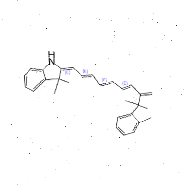 C=C(/C=C/C=C/C=C/C=C1/Nc2ccccc2C1(C)C)C(C)(C)c1ccccc1C